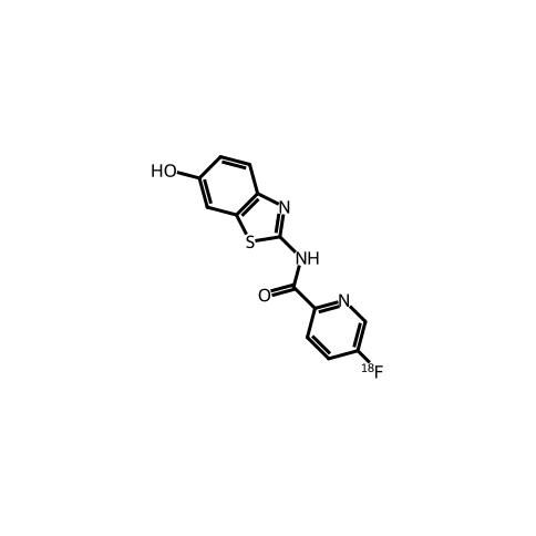 O=C(Nc1nc2ccc(O)cc2s1)c1ccc([18F])cn1